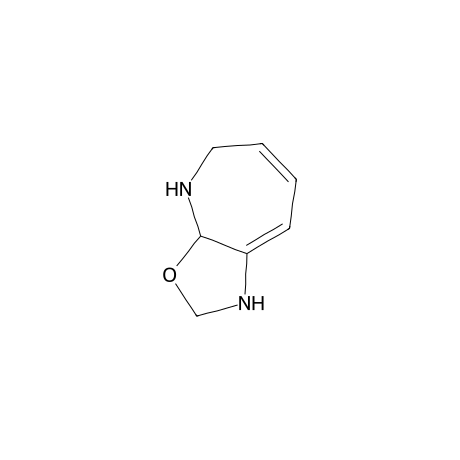 C1=CCNC2OCNC2=C1